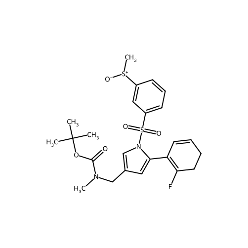 CN(Cc1cc(C2=C(F)CCC=C2)n(S(=O)(=O)c2cccc([S+](C)[O-])c2)c1)C(=O)OC(C)(C)C